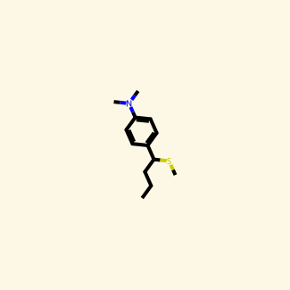 CCCC(SC)c1ccc(N(C)C)cc1